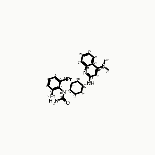 CCc1cccc(C(C)C)c1N(C(N)=O)[C@H]1CC[C@@H](Nc2cc(N(C)C)c3ccccc3n2)CC1